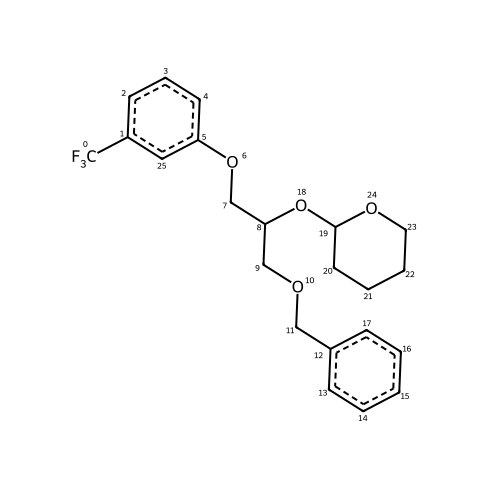 FC(F)(F)c1cccc(OCC(COCc2ccccc2)OC2CCCCO2)c1